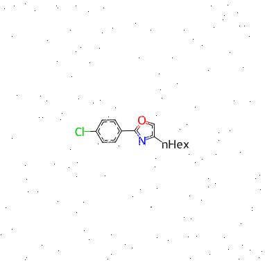 [CH2]CCCCCc1coc(-c2ccc(Cl)cc2)n1